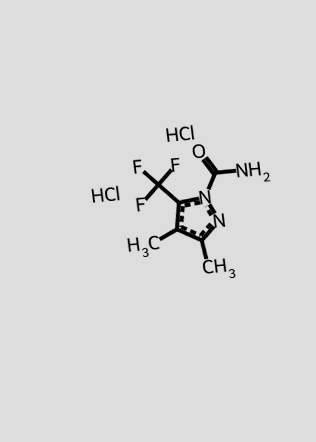 Cc1nn(C(N)=O)c(C(F)(F)F)c1C.Cl.Cl